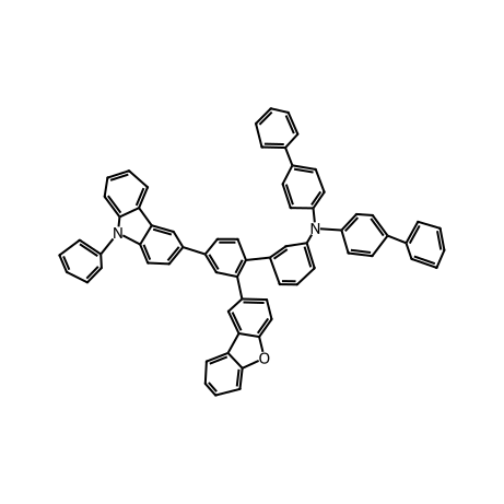 c1ccc(-c2ccc(N(c3ccc(-c4ccccc4)cc3)c3cccc(-c4ccc(-c5ccc6c(c5)c5ccccc5n6-c5ccccc5)cc4-c4ccc5oc6ccccc6c5c4)c3)cc2)cc1